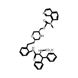 CN(C(=O)OC[C@@H]1CO[C@H](CCc2ccccc2NC(=O)[C@@H](NC(=O)O)C(c2ccccc2)c2ccccc2)CN1)c1cccc2ccncc12